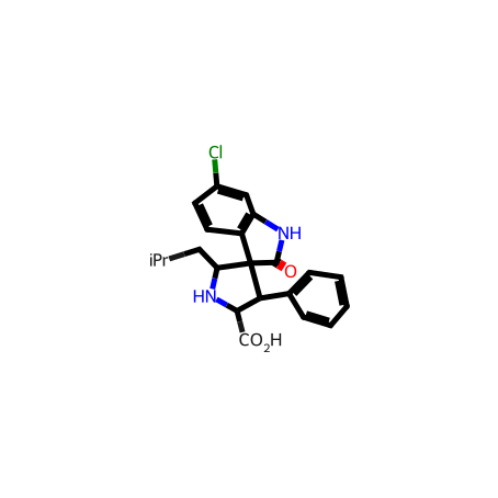 CC(C)CC1NC(C(=O)O)C(c2ccccc2)C12C(=O)Nc1cc(Cl)ccc12